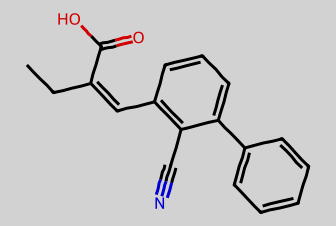 CCC(=Cc1cccc(-c2ccccc2)c1C#N)C(=O)O